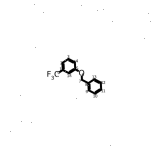 FC(F)(F)c1cc[c]c(OCc2ccccc2)c1